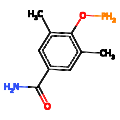 Cc1cc(C(N)=O)cc(C)c1OP